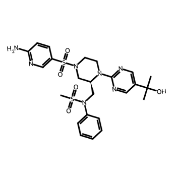 CC(C)(O)c1cnc(N2CCN(S(=O)(=O)c3ccc(N)nc3)C[C@@H]2CN(c2ccccc2)S(C)(=O)=O)nc1